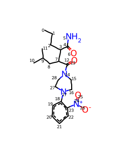 CCCC(C(N)=O)C(CC(C)C)C(=O)N1CCN(c2ccccc2[N+](=O)[O-])CC1